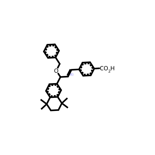 CC1(C)CCC(C)(C)c2cc(C(/C=C/c3ccc(C(=O)O)cc3)OCc3ccccc3)ccc21